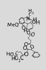 COc1ccc2c3c1O[C@@H]1C(OC(=O)CCC(=O)O[C@H](C(=O)O[C@H](CC(=O)O)C(=O)O)c4ccccc4)=CC[C@]4(O)[C@H](C2)N(C)CC[C@@]314